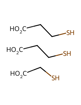 O=C(O)CCS.O=C(O)CCS.O=C(O)CS